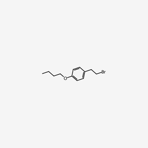 CCCCOc1ccc(CCBr)cc1